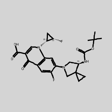 CC(C)(C)OC(=O)N[C@@H]1CN(c2cc3c(cc2F)c(=O)c(C(=O)O)cn3[C@@H]2C[C@@H]2F)CC12CC2